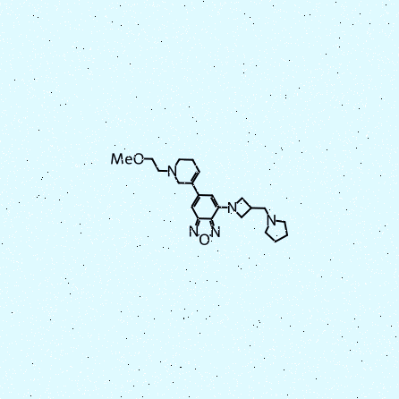 COCCN1CCC=C(c2cc(N3CC(CN4CCCC4)C3)c3nonc3c2)C1